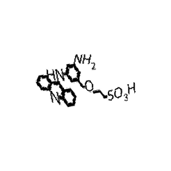 Nc1cc(COCCCS(=O)(=O)O)cc(Nc2c3ccccc3nc3ccccc23)c1